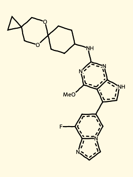 COc1nc(NC2CCC3(CC2)OCC2(CC2)CO3)nc2[nH]cc(-c3cc(F)c4nccn4c3)c12